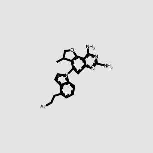 CC(=O)CCc1cccc2c1ccn2-c1cc2nc(N)nc(N)c2c2c1C(C)CO2